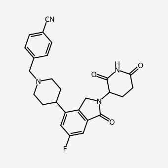 N#Cc1ccc(CN2CCC(c3cc(F)cc4c3CN(C3CCC(=O)NC3=O)C4=O)CC2)cc1